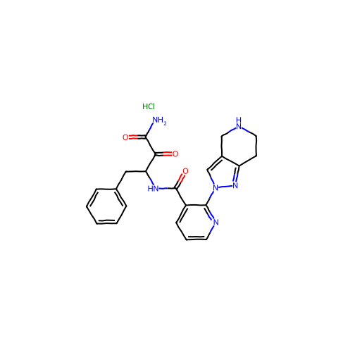 Cl.NC(=O)C(=O)C(Cc1ccccc1)NC(=O)c1cccnc1-n1cc2c(n1)CCNC2